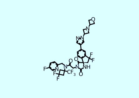 O=C1N[C@]2(CC(F)(F)c3cc(-c4cnn(C5CN(C6COC6)C5)c4)ccc32)C(=O)N1CC(=O)N(Cc1ccc(F)cn1)C1(C(F)(F)F)CC(F)(F)C1